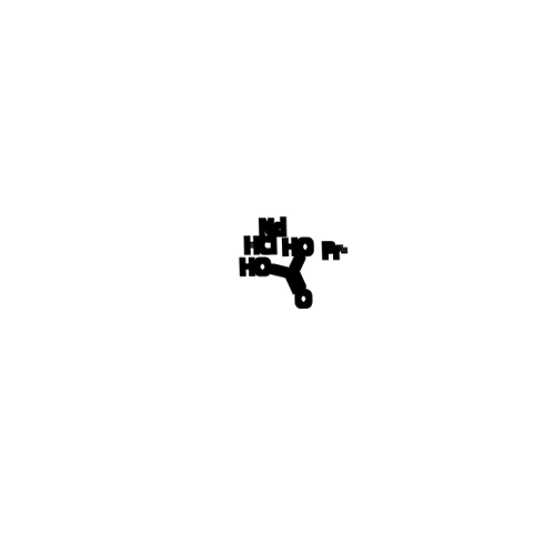 Cl.O=C(O)O.[Nd].[Pr]